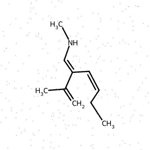 C=C(C)C(/C=C\CC)=C/NC